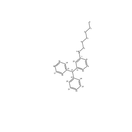 CCCCCCSc1cccc(C(c2ccccc2)c2ccccc2)c1